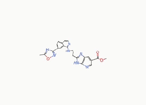 COC(=O)c1cnc2[nH]c(CCNc3nccc4ccc(-c5noc(C)n5)cc34)nc2c1